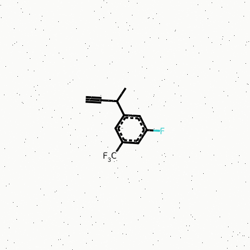 C#C[C](C)c1cc(F)cc(C(F)(F)F)c1